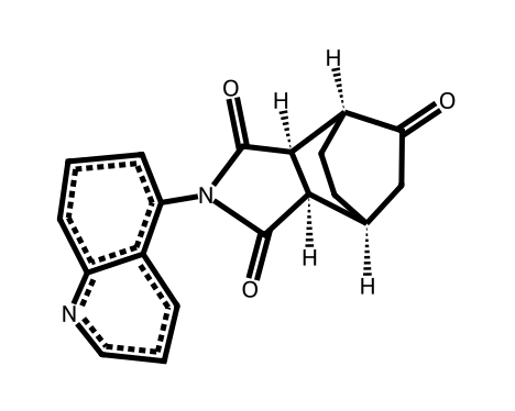 O=C1C[C@@H]2CC[C@H]1[C@@H]1C(=O)N(c3cccc4ncccc34)C(=O)[C@H]21